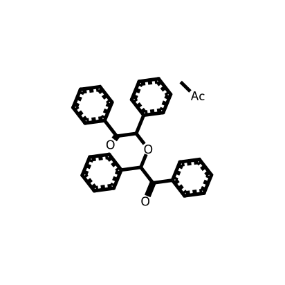 CC(C)=O.O=C(c1ccccc1)C(OC(C(=O)c1ccccc1)c1ccccc1)c1ccccc1